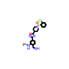 CC(C)Nc1cc(-c2noc(C3CCN([S+]([O-])c4ccccc4Cl)CC3)n2)ccc1C=N